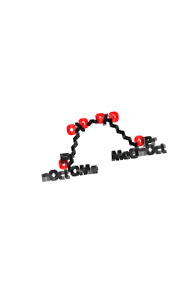 CCCCCCCCC(OC)C(CCCCCCCC(=O)C(C)(C)OCCCOC(C)(C)C(=O)CCCCCCCC(OC(C)C)C(CCCCCCCC)OC)OC(C)C